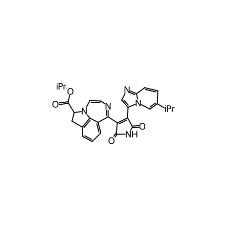 CC(C)OC(=O)C1Cc2cccc3c2N1C=CN=C3C1=C(c2cnc3ccc(C(C)C)cn23)C(=O)NC1=O